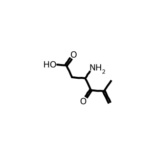 C=C(C)C(=O)C(N)CC(=O)O